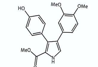 COC(=O)c1[nH]cc(-c2ccc(OC)c(OC)c2)c1-c1ccc(O)cc1